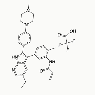 C=CC(=O)Nc1cc(-c2c(-c3ccc(N4CCN(C)CC4)cc3)[nH]c3ncc(CC)cc23)ccc1C.O=C(O)C(F)(F)F